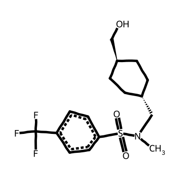 CN(C[C@H]1CC[C@H](CO)CC1)S(=O)(=O)c1ccc(C(F)(F)F)cc1